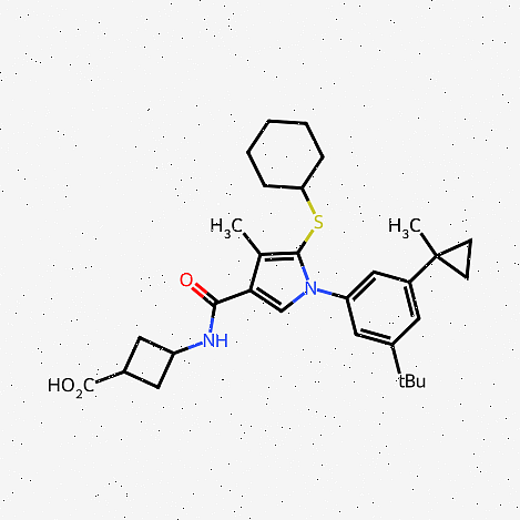 Cc1c(C(=O)NC2CC(C(=O)O)C2)cn(-c2cc(C(C)(C)C)cc(C3(C)CC3)c2)c1SC1CCCCC1